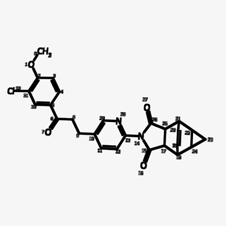 COc1ccc(C(=O)CCc2ccc(N3C(=O)C4C5C=CC(C6CC56)C4C3=O)nc2)cc1Cl